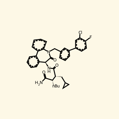 CCCC[C@H](C(N)=O)[C@@H](CC1CC1)C(=O)N[C@@H]1C(=O)N(Cc2cccc(-c3ccc(F)c(Cl)c3)c2)c2ccccc2-c2ccccc21